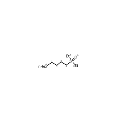 CCCCCCCCCCP(=O)(CC)CC